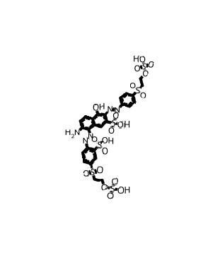 Nc1ccc2c(O)c(/N=N/c3ccc(S(=O)(=O)CCOS(=O)(=O)O)cc3)c(S(=O)(=O)O)cc2c1/N=N/c1ccc(S(=O)(=O)CCOS(=O)(=O)O)cc1S(=O)(=O)O